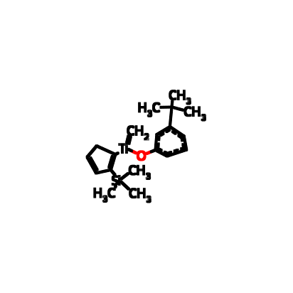 [CH2]=[Ti]([O]c1cccc(C(C)(C)C)c1)[C]1=C([Si](C)(C)C)C=CC1